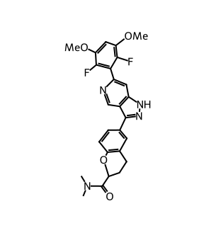 COc1cc(OC)c(F)c(-c2cc3[nH]nc(-c4ccc5c(c4)CCC(C(=O)N(C)C)O5)c3cn2)c1F